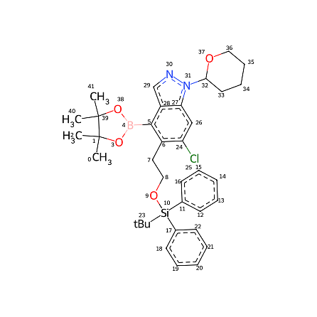 CC1(C)OB(c2c(CCO[Si](c3ccccc3)(c3ccccc3)C(C)(C)C)c(Cl)cc3c2cnn3C2CCCCO2)OC1(C)C